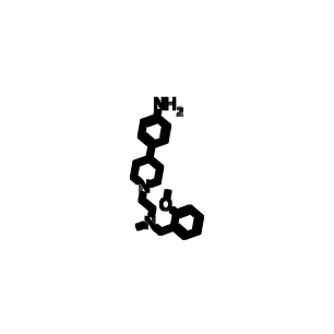 COc1ccccc1CN(C)CCN1CCC(c2ccc(N)cc2)CC1